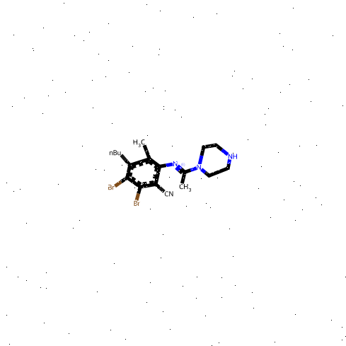 CCCCc1c(C)c(/N=C(\C)N2CCNCC2)c(C#N)c(Br)c1Br